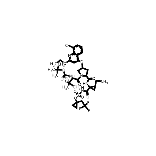 CCOc1cc(OC2CC(C(=O)NC3(C(=O)NS(=O)(=O)OC4(CC(F)(F)F)CC4)CC3CC)N(C(=O)C(NC(=O)OC(C)(C)C)C(C)(C)C)C2)c2cccc(Cl)c2n1